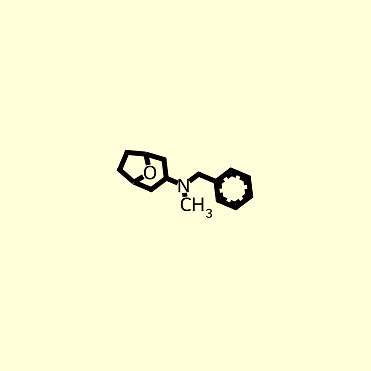 CN(Cc1ccccc1)C1CC2CCC(C1)O2